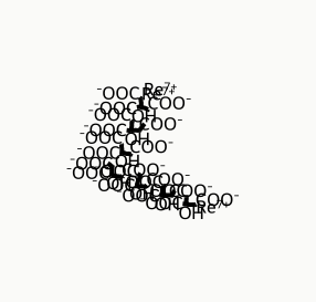 O=C([O-])CC(O)(CC(=O)[O-])C(=O)[O-].O=C([O-])CC(O)(CC(=O)[O-])C(=O)[O-].O=C([O-])CC(O)(CC(=O)[O-])C(=O)[O-].O=C([O-])CC(O)(CC(=O)[O-])C(=O)[O-].O=C([O-])CC(O)(CC(=O)[O-])C(=O)[O-].O=C([O-])CC(O)(CC(=O)[O-])C(=O)[O-].O=C([O-])CC(O)(CC(=O)[O-])C(=O)[O-].[Re+7].[Re+7].[Re+7]